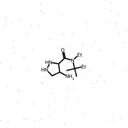 CCN(C(=O)C1NNCC1N)C(C)(C)CC